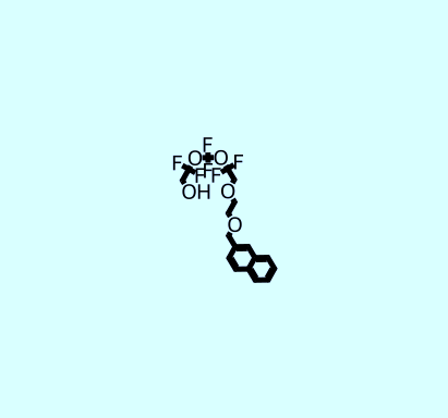 OCC(F)(F)OC(F)(F)OC(F)(F)COCCOCc1ccc2ccccc2c1